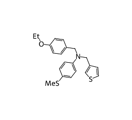 CCOc1ccc(CN(Cc2ccsc2)c2ccc(SC)cc2)cc1